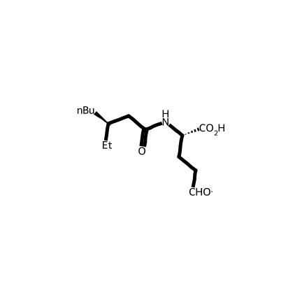 CCCC[C@H](CC)CC(=O)N[C@@H](CC[C]=O)C(=O)O